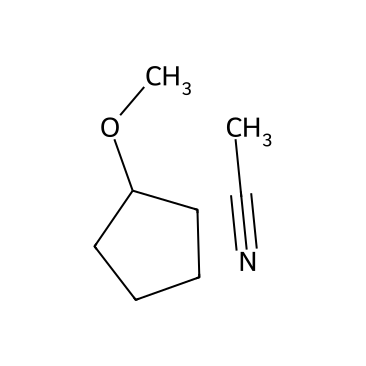 CC#N.COC1CCCC1